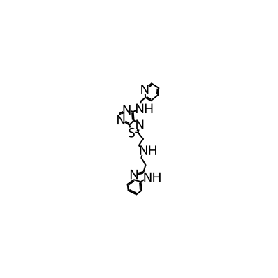 c1ccc(CNc2ncnc3sc(CCNCCc4nc5ccccc5[nH]4)nc23)nc1